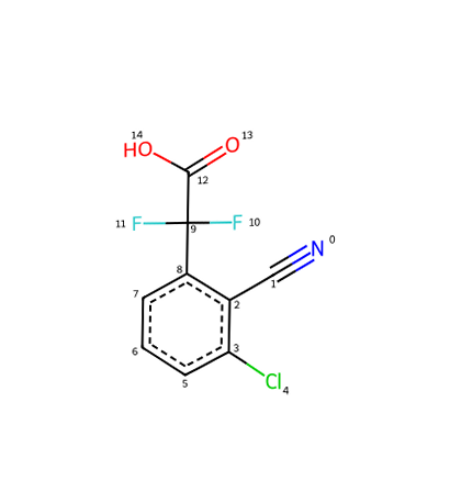 N#Cc1c(Cl)cccc1C(F)(F)C(=O)O